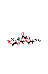 C=CC(=O)OC.CCCCOCCOCCO